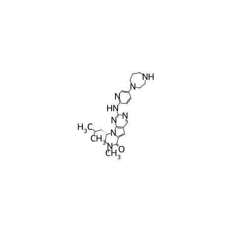 CC(C)C[C@H]1CN(C)C(=O)c2cc3cnc(Nc4ccc(N5CCCNCC5)cn4)nc3n21